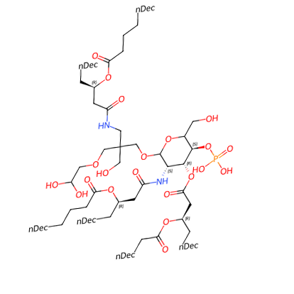 CCCCCCCCCCCCCC(=O)O[C@H](CCCCCCCCCCC)CC(=O)NCC(CO)(COCC(O)O)COC1OC(CO)[C@@H](OP(=O)(O)O)[C@H](OC(=O)C[C@@H](CCCCCCCCCCC)OC(=O)CCCCCCCCCCC)[C@@H]1NC(=O)C[C@@H](CCCCCCCCCCC)OC(=O)CCCCCCCCCCCCC